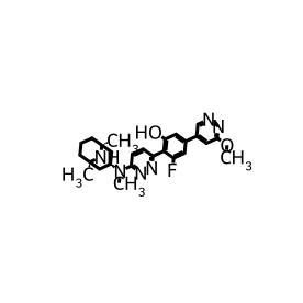 COc1cc(-c2cc(O)c(-c3ccc(N(C)[C@@H]4C[C@]5(C)CCC[C@](C)(C4)N5)nn3)c(F)c2)cnn1